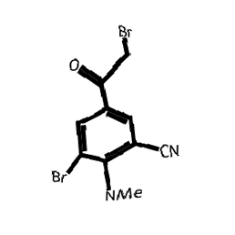 CNc1c(Br)cc(C(=O)CBr)cc1C#N